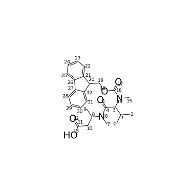 CC(C)C(C(=O)N(C)C(C)CC(=O)O)N(C)C(=O)OCC1c2ccccc2-c2ccccc21